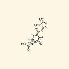 CC1=CS/C(=C/C(=O)c2cc3c(c(Cl)c2Cl)OC(C(=O)O)C3)N1C